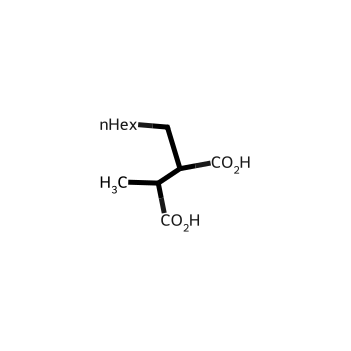 CCCCCCCC(C(=O)O)C(C)C(=O)O